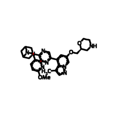 COc1ccc(CN2C3CC2CN(c2cnc(-c4cc(OC[C@@H]5CNCCO5)cn5ncc(C)c45)cn2)C3)cn1